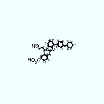 O=C(O)c1ccc(Cc2nc3c(-c4ccc(C5=CCCCC5)cc4)cccc3n2CCCO)cc1